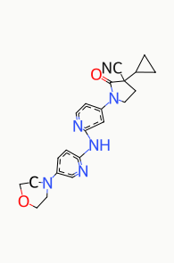 N#CC1(C2CC2)CCN(c2ccnc(Nc3ccc(N4CCOCC4)cn3)c2)C1=O